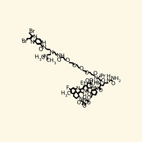 CC[C@]1(O)C(=O)OCc2c1cc1n(c2=O)Cc2c-1nc1cc(F)c(C)c3c1c2[C@H](NC(=O)C1(NC(=O)OCc2ccc(NC(=O)C(CCCNC(N)=O)NC(=O)[C@@H](NC(=O)CCOCCOCCOCCOCCC(=O)NCCN(CCNC(=O)c4ccc5nc(CBr)c(CBr)nc5c4)CCN(C)C)C(C)C)cc2)COC1)CC3